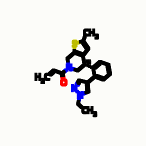 C=CC(=O)N1Cc2sc(C)cc2[C@H](c2ccccc2-c2cnn(CC)c2)C1